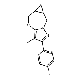 Fc1ccc(-c2nn3c(c2I)OCC2CC2C3)nc1